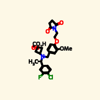 COc1cc(CN(C2CCC2)[C@H](C)c2ccc(Cl)c(F)c2)ccc1OCCN1C(=O)CCC1=O.O=C(O)O